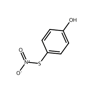 O=[N+]([O-])Sc1ccc(O)cc1